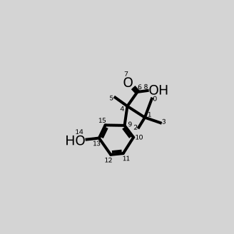 CC(C)(C)C(C)(C(=O)O)c1cccc(O)c1